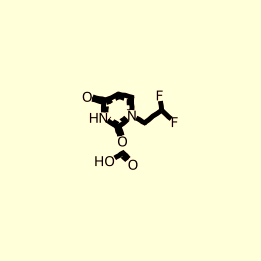 O=CO.O=c1ccn(CC(F)F)c(=O)[nH]1